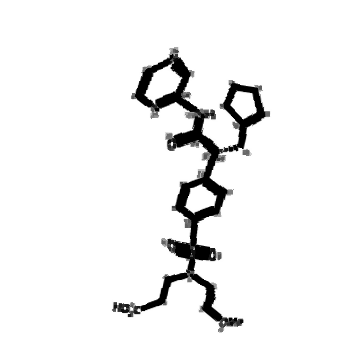 COCCN(CCC(=O)O)S(=O)(=O)c1ccc([C@@H](CC2CCCC2)C(=O)Nc2cnccn2)cc1